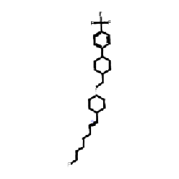 FCCCCC/C=C/[C@H]1CC[C@H](CCC2CCC(c3ccc(C(F)(F)F)cc3)CC2)CC1